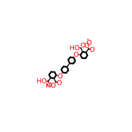 COOC(=O)c1cccc(Oc2ccc(-c3ccc(Oc4cccc(C(=O)O)c4C(=O)O)cc3)cc2)c1C(=O)O